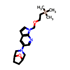 CS(C)(C)CCOCn1ccc2cc(N3CC4CCC(C3)O4)cnc21